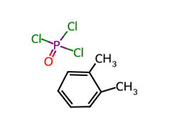 Cc1ccccc1C.O=P(Cl)(Cl)Cl